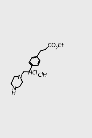 CCOC(=O)CCc1ccc(CCN2CCNCC2)cc1.Cl.Cl